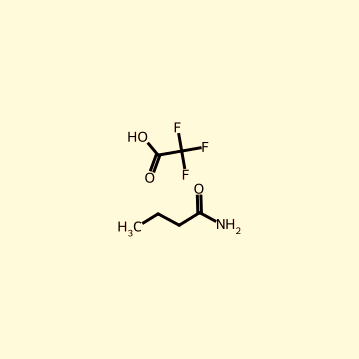 CCCC(N)=O.O=C(O)C(F)(F)F